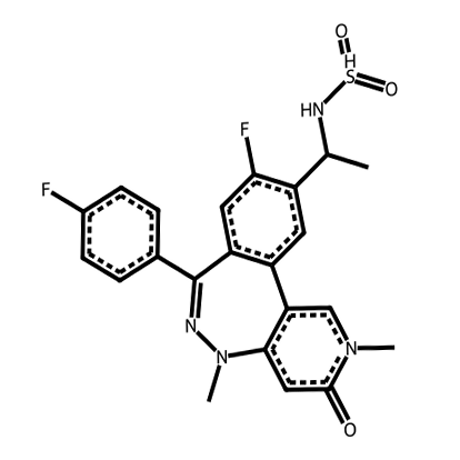 CC(N[SH](=O)=O)c1cc2c(cc1F)C(c1ccc(F)cc1)=NN(C)c1cc(=O)n(C)cc1-2